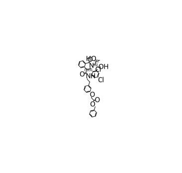 C[C@H](O)[C@H](CO)N1C(=O)c2ccccc2[C@H](C(=O)NCCc2cccc(OCC(=O)OCc3ccccc3)c2)[C@H]1c1ccc(Cl)cc1Cl